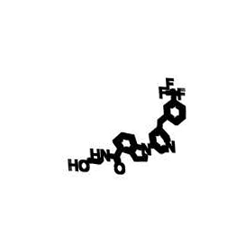 O=C(NCCO)c1cccc2c1CCN2c1cncc(Cc2cccc(C(F)(F)F)c2)c1